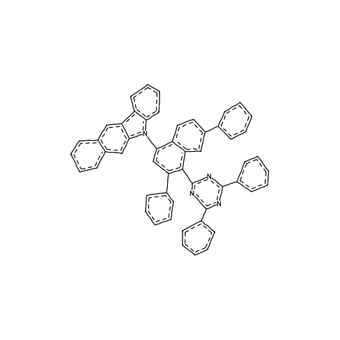 c1ccc(-c2ccc3c(-n4c5ccccc5c5cc6ccccc6cc54)cc(-c4ccccc4)c(-c4nc(-c5ccccc5)nc(-c5ccccc5)n4)c3c2)cc1